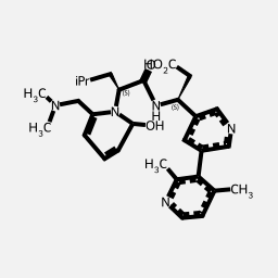 Cc1ccnc(C)c1-c1cncc([C@H](CC(=O)O)NC(=O)[C@H](CC(C)C)N2C(CN(C)C)=CC=CC2O)c1